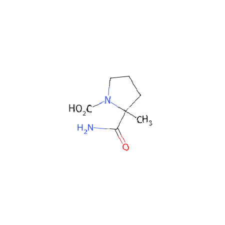 CC1(C(N)=O)CCCN1C(=O)O